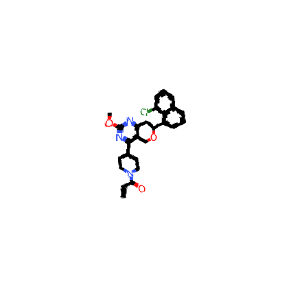 C=CC(=O)N1CCC(c2nc(OC)nc3c2COC(c2cccc4cccc(Cl)c24)C3)CC1